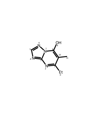 CCc1nc2ncnn2c(O)c1C